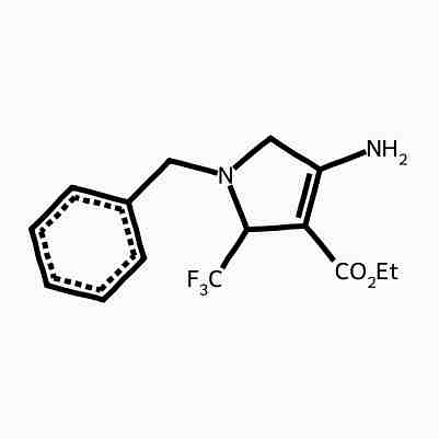 CCOC(=O)C1=C(N)CN(Cc2ccccc2)C1C(F)(F)F